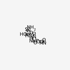 CNC(=O)OCC=CC1(C(=O)[O-])CS[C@@H]2C(NC(=O)C(=NO)c3csc(N)n3)C(=O)N2C1.[Na+]